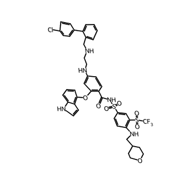 O=C(NS(=O)(=O)c1ccc(NCC2CCOCC2)c(S(=O)(=O)C(F)(F)F)c1)c1ccc(NCCNCc2ccccc2-c2ccc(Cl)cc2)cc1Oc1cccc2[nH]ccc12